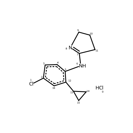 Cl.Clc1ccc(NC2=NCCC2)c(C2CC2)c1